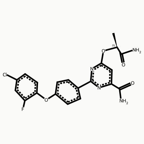 C[C@H](Oc1cc(C(N)=O)nc(-c2ccc(Oc3ccc(Cl)cc3F)cc2)n1)C(N)=O